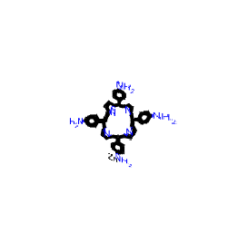 Nc1ccc(C2=C3C=CC(=N3)C(c3ccc(N)cc3)=C3C=CC(=N3)C(c3ccc(N)cc3)=C3C=CC(=N3)C(c3ccc(N)cc3)=C3C=CC2=N3)cc1.[Zn]